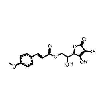 COc1ccc(/C=C/C(=O)OCC(O)C2OC(=O)C(O)=C2O)cc1